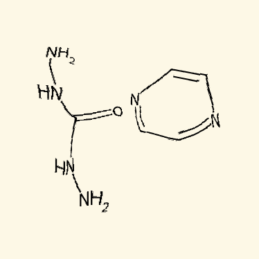 NNC(=O)NN.c1cnccn1